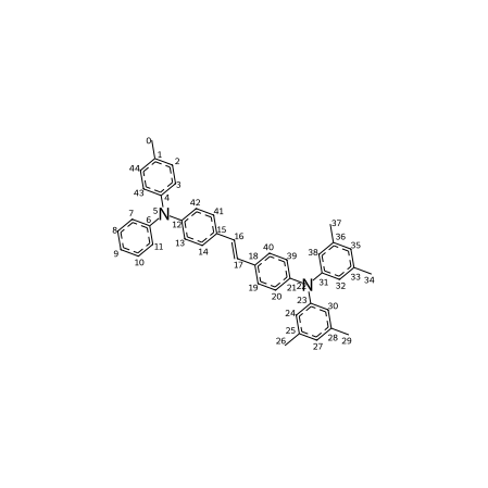 Cc1ccc(N(c2ccccc2)c2ccc(/C=C/c3ccc(N(c4cc(C)cc(C)c4)c4cc(C)cc(C)c4)cc3)cc2)cc1